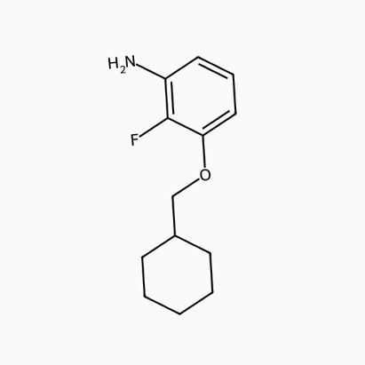 Nc1cccc(OCC2CCCCC2)c1F